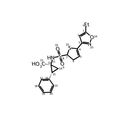 CCc1cc(C2=CCC(S(=O)(=O)N[C@@]3(C(=O)O)C[C@@H]3c3ccccc3)S2)no1